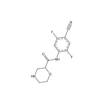 N#Cc1cc(F)c(NC(=O)C2CNCCO2)cc1F